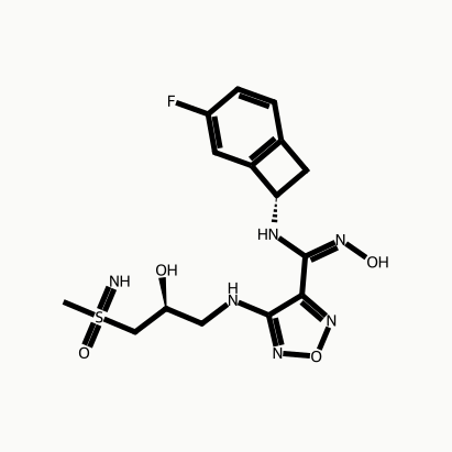 CS(=N)(=O)C[C@@H](O)CNc1nonc1/C(=N\O)N[C@H]1Cc2ccc(F)cc21